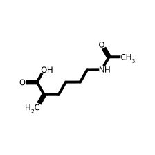 C=C(CCCCNC(C)=O)C(=O)O